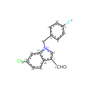 O=Cc1cn(Cc2ccc(F)cc2)c2cc(Cl)ccc12